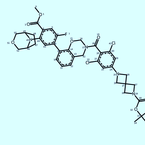 COC(=O)c1cc(F)c(-c2cccc3c2OCN(C(=O)c2c(Cl)cc(N4CC5(CN(C(=O)OC(C)(C)C)C5)C4)cc2Cl)C3)cc1N1C2CCC1COC2